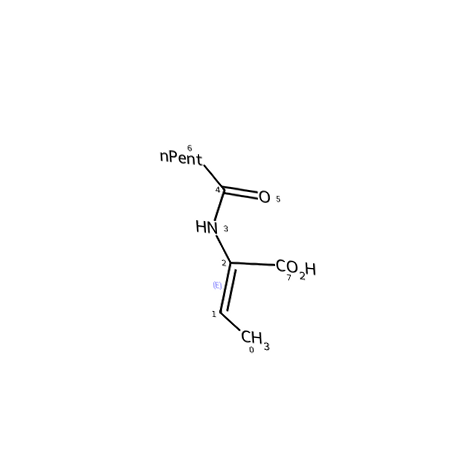 C/C=C(/NC(=O)CCCCC)C(=O)O